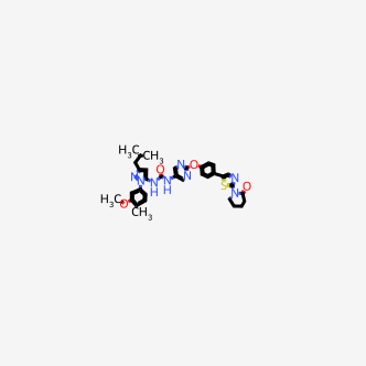 COc1cc(-n2nc(CC(C)C)cc2NC(=O)Nc2cnc(Oc3ccc(-c4cnc(N5CCCCC5=O)s4)cc3)nc2)ccc1C